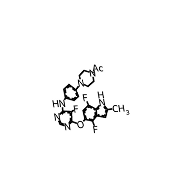 CC(=O)N1CCN(c2ccc(Nc3ncnc(Oc4cc(F)c5[nH]c(C)cc5c4F)c3F)cc2)CC1